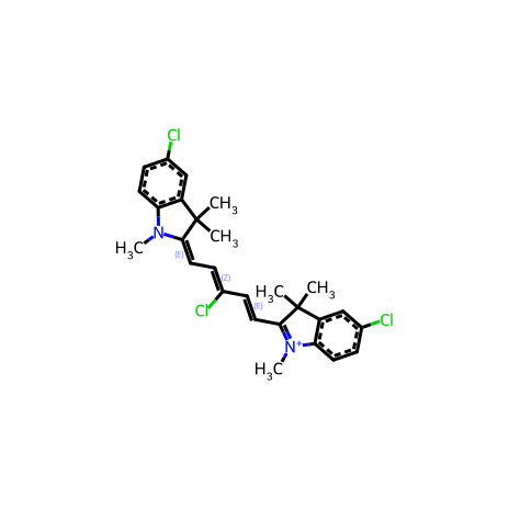 CN1/C(=C/C=C(Cl)/C=C/C2=[N+](C)c3ccc(Cl)cc3C2(C)C)C(C)(C)c2cc(Cl)ccc21